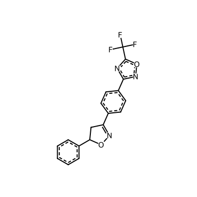 FC(F)(F)c1nc(-c2ccc(C3=NOC(c4ccccc4)C3)cc2)no1